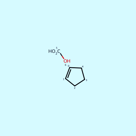 C1=CCCC1.O=C(O)O